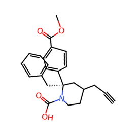 C#CCC1CCN(C(=O)O)[C@@](Cc2ccccc2)(c2ccc(C(=O)OC)cc2)C1